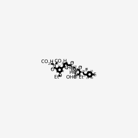 CCOc1cc(C(=O)N(CC(=O)O)CC(=O)O)cc(-c2ccc(C(=O)NCNC(=O)[C@H](CCc3ccc(F)cc3F)[C@@H](CC)N(O)C=O)o2)c1